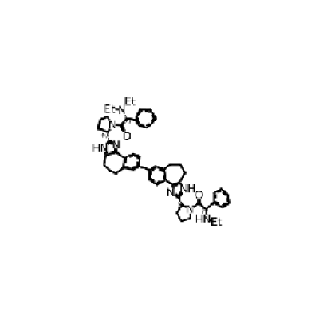 CCN[C@@H](C(=O)N1CCC[C@H]1c1nc2c([nH]1)CCCc1cc(-c3ccc4c(c3)CCCc3[nH]c([C@@H]5CCCN5C(=O)[C@@H](c5ccccc5)N(CC)CC)nc3-4)ccc1-2)c1ccccc1